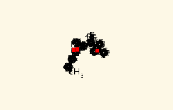 Cc1cccc(-c2ccc(-c3ccc(-n4c5ccc(-c6cc(-c7c8ccccc8c(-c8ccccc8)c8ccccc78)cc(C(F)(F)F)c6)cc5c5cccnc54)cc3)cc2)c1